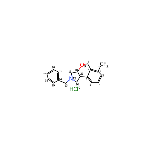 Cl.FC(F)(F)c1cccc2c1COC1CN(Cc3ccccc3)CC21